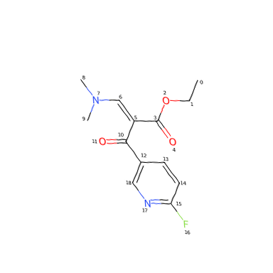 CCOC(=O)/C(=C/N(C)C)C(=O)c1ccc(F)nc1